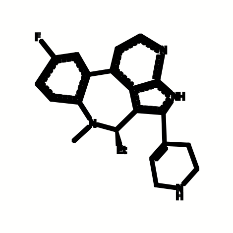 CC[C@@H]1c2c(C3=CCNCC3)[nH]c3nccc(c23)-c2cc(F)ccc2N1C